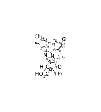 CCCN(C(=O)C1=C(C(C)C)N2C(=N[C@@H](c3ccc(Cl)cc3)[C@H]2c2ccc(Cl)cc2)S1)[C@@H](C)C(=O)O